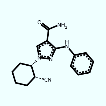 N#C[C@@H]1CCCC[C@@H]1n1cc(C(N)=O)c(Nc2ccccc2)n1